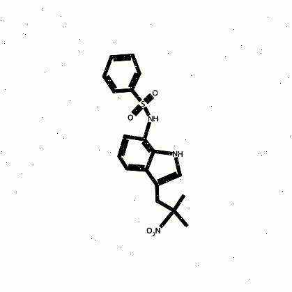 CC(C)(Cc1c[nH]c2c(NS(=O)(=O)c3ccccc3)cccc12)[N+](=O)[O-]